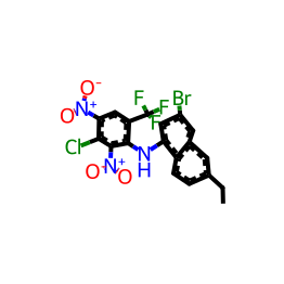 CCc1ccc2c(Nc3c(C(F)(F)F)cc([N+](=O)[O-])c(Cl)c3[N+](=O)[O-])cc(Br)cc2c1